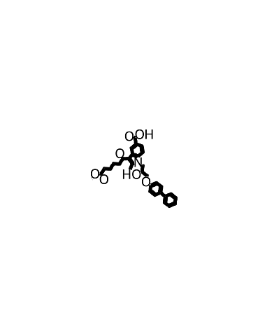 COC(=O)CCCCC(=O)c1c(C)n(CC(O)COc2ccc(-c3ccccc3)cc2)c2ccc(C(=O)O)cc12